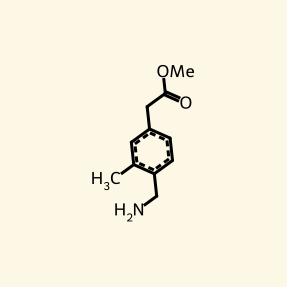 COC(=O)Cc1ccc(CN)c(C)c1